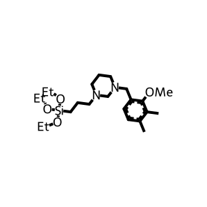 CCO[Si](CCCN1CCCN(Cc2ccc(C)c(C)c2OC)C1)(OCC)OCC